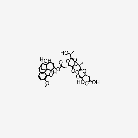 COc1ccc2c3c1O[C@@H]1C(OC(=O)C[C@H](OC(=O)[C@H](C)O)C(=O)O[C@@H](C)C(=O)O[C@@H](CC(=O)O)C(=O)O)=CC[C@]4(O)[C@@H](CCC[C@@]314)C2